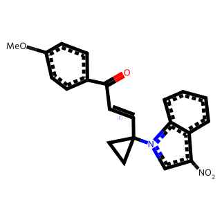 COc1ccc(C(=O)/C=C/C2(n3cc([N+](=O)[O-])c4ccccc43)CC2)cc1